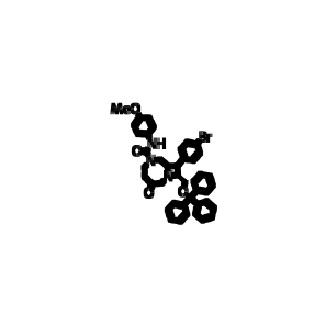 COc1ccc(NC(=O)N2CCC(=O)CN3C(C2)C(c2ccc(Br)cc2)[C@H]3COC(c2ccccc2)(c2ccccc2)c2ccccc2)cc1